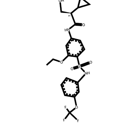 CCOc1cc(NC(=O)[C@@H](CO)C2CC2)ccc1S(=O)(=O)Nc1cccc(OC(F)(F)F)c1